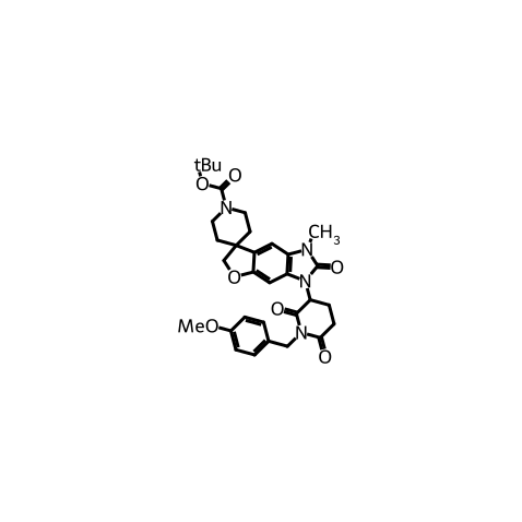 COc1ccc(CN2C(=O)CCC(n3c(=O)n(C)c4cc5c(cc43)OCC53CCN(C(=O)OC(C)(C)C)CC3)C2=O)cc1